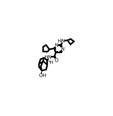 O=C(N[C@H]1C2CC3CC1C[C@@](O)(C3)C2)c1cnc(NC2CCC2)nc1C1CCCC1